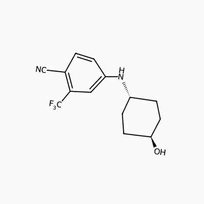 N#Cc1ccc(N[C@H]2CC[C@H](O)CC2)cc1C(F)(F)F